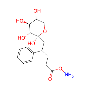 NOC(=O)CCC(C[C@]1(O)OC[C@@H](O)[C@H](O)[C@H]1O)c1ccccc1